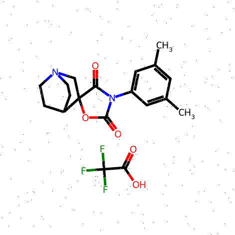 Cc1cc(C)cc(N2C(=O)OC3(CN4CCC3CC4)C2=O)c1.O=C(O)C(F)(F)F